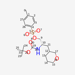 Cc1ccc(S(=O)(=O)OC[C@H](CC2CCCOC2)NC(=O)OC(C)(C)C)cc1